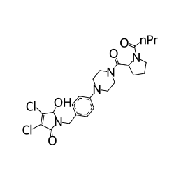 CCCC(=O)N1CCC[C@H]1C(=O)N1CCN(c2ccc(CN3C(=O)C(Cl)=C(Cl)C3O)cc2)CC1